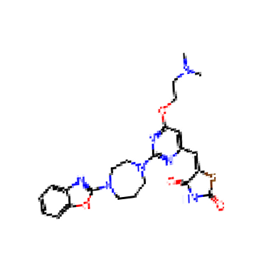 CN(C)CCOc1cc(C=C2SC(=O)NC2=O)nc(N2CCCN(c3nc4ccccc4o3)CC2)n1